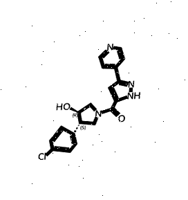 O=C(c1cc(-c2ccncc2)n[nH]1)N1C[C@H](c2ccc(Cl)cc2)[C@@H](O)C1